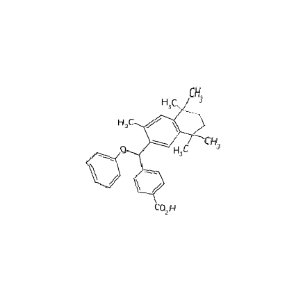 Cc1cc2c(cc1C(Oc1ccccc1)c1ccc(C(=O)O)cc1)C(C)(C)CCC2(C)C